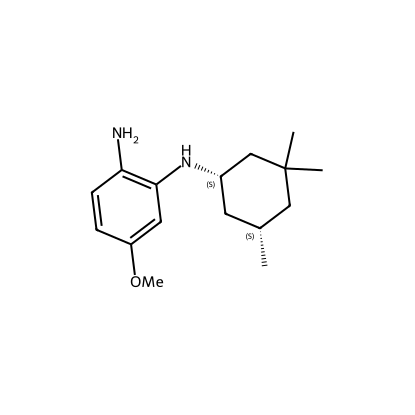 COc1ccc(N)c(N[C@H]2C[C@@H](C)CC(C)(C)C2)c1